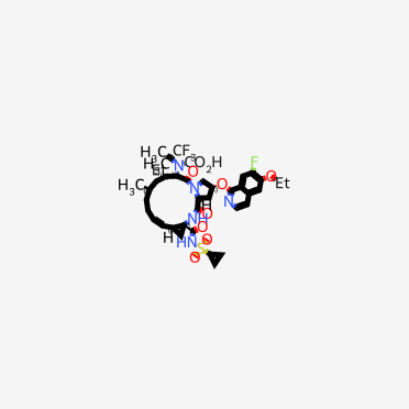 CCOc1cc2ccnc(O[C@@H]3C[C@H]4C(=O)N[C@]5(C(=O)NS(=O)(=O)C6CC6)C[C@H]5C=CCC[C@@H](C)C[C@@H](CC)[C@H](N(C(=O)O)C(C)(C)C(F)(F)F)C(=O)N4C3)c2cc1F